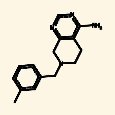 Cc1cccc(CN2CCc3c(N)ncnc3C2)c1